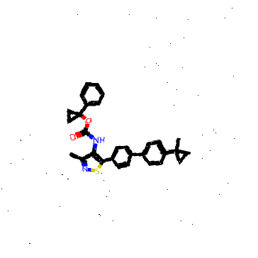 Cc1nsc(-c2ccc(-c3ccc(C4(C)CC4)cc3)cc2)c1NC(=O)OC1(c2ccccc2)CC1